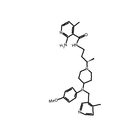 COc1ccc(N(Cc2cnccc2C)C2CCN([C@H](C)CCNC(=O)c3c(C)ccnc3N)CC2)cc1